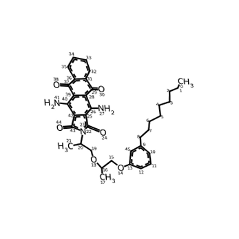 CCCCCCCCCc1cccc(OCC(C)OCC(C)n2c(=O)c3c(N)c4c(=O)c5ccccc5c(=O)c4c(N)c3c2=O)c1